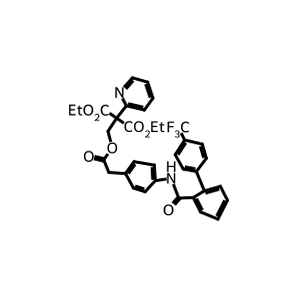 CCOC(=O)C(COC(=O)Cc1ccc(NC(=O)c2ccccc2-c2ccc(C(F)(F)F)cc2)cc1)(C(=O)OCC)c1ccccn1